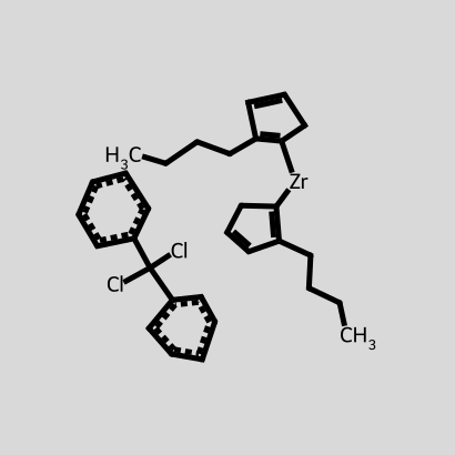 CCCCC1=[C]([Zr][C]2=C(CCCC)C=CC2)CC=C1.ClC(Cl)(c1ccccc1)c1ccccc1